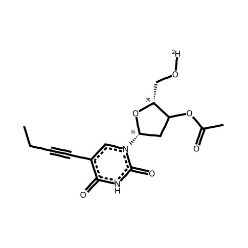 [2H]OC[C@H]1O[C@@H](n2cc(C#CCC)c(=O)[nH]c2=O)CC1OC(C)=O